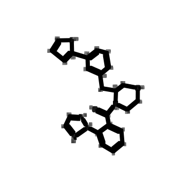 O=C(c1ccccc1-n1nccn1)N1CCOCC1Cc1cccc(-c2cccs2)c1